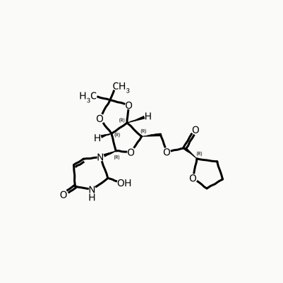 CC1(C)O[C@@H]2[C@H](O1)[C@@H](COC(=O)[C@H]1CCCO1)O[C@H]2N1C=CC(=O)NC1O